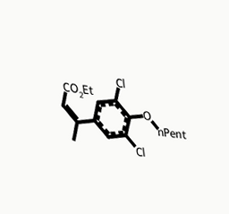 CCCCCOc1c(Cl)cc(/C(C)=C\C(=O)OCC)cc1Cl